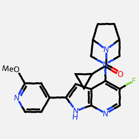 COc1cc(-c2cc3c(N4CC5CCC(C4)N5C(=O)C4CC4)c(F)cnc3[nH]2)ccn1